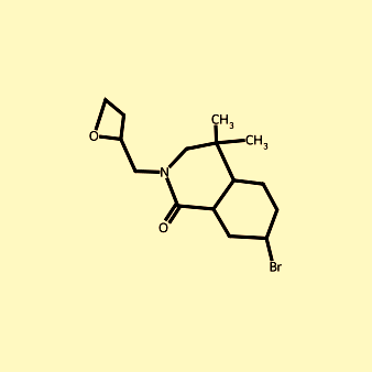 CC1(C)CN(CC2CCO2)C(=O)C2CC(Br)CCC21